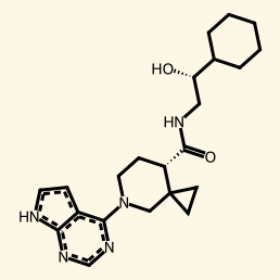 O=C(NC[C@H](O)C1CCCCC1)[C@H]1CCN(c2ncnc3[nH]ccc23)CC12CC2